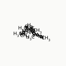 CCc1cc(Nc2ncc(Br)c(Nc3ccc(-c4cnc(N(C)C)cn4)cc3P(C)(C)=O)n2)c(OC)cc1N1CCC(N2CCN(C)CC2)CC1